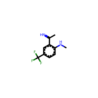 CNc1ccc(C(F)(F)F)cc1C(C)=N